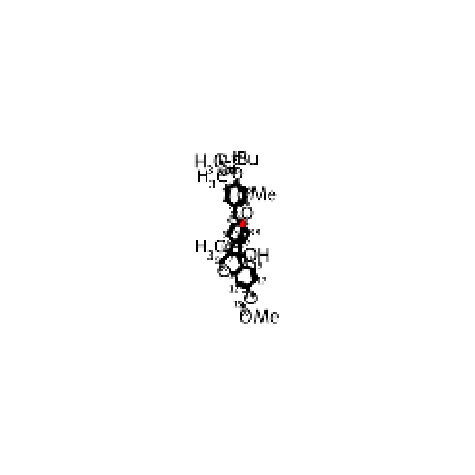 COCOc1ccc(C2(C)COc3cc(OCOC)ccc3C2(O)C#CCCc2ccc(O[Si](C)(C)C(C)(C)C)cc2)cc1